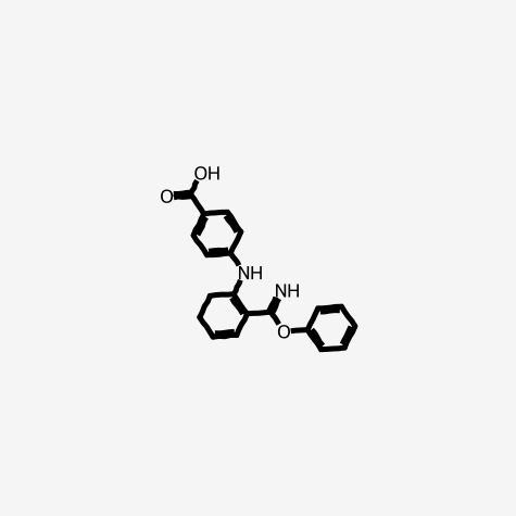 N=C(Oc1ccccc1)C1=C(Nc2ccc(C(=O)O)cc2)CCC=C1